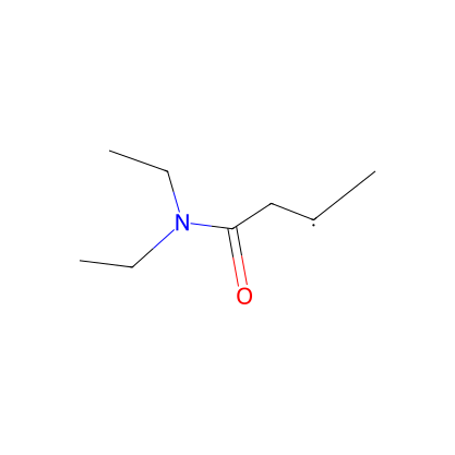 C[CH]CC(=O)N(CC)CC